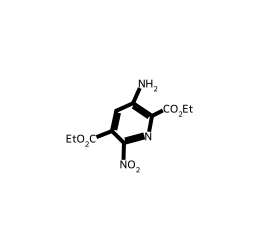 CCOC(=O)c1cc(N)c(C(=O)OCC)nc1[N+](=O)[O-]